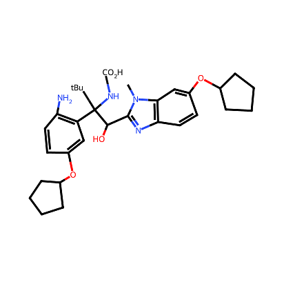 Cn1c(C(O)C(NC(=O)O)(c2cc(OC3CCCC3)ccc2N)C(C)(C)C)nc2ccc(OC3CCCC3)cc21